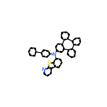 c1ccc(-c2ccc(N(c3ccc4c(c3)-c3ccccc3-c3ccccc3-c3ccccc3-4)c3cccc4c3sc3ncccc34)cc2)cc1